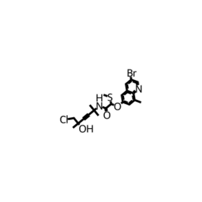 CSC(Oc1cc(C)c2ncc(Br)cc2c1)C(=O)NC(C)(C)C#CC(C)(O)CCl